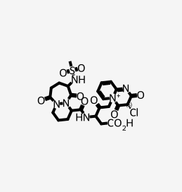 CS(=O)(=O)NC1CCC(=O)N2CCCC(C(=O)NC(CC(=O)O)C(=O)C[N+]34C=CC=CC3=NC(=O)[C@H](Cl)C4=O)N2C1=O